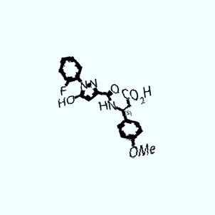 COc1ccc([C@H](CC(=O)O)NC(=O)c2cc(O)n(-c3ccccc3F)n2)cc1